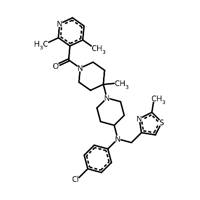 Cc1nc(CN(c2ccc(Cl)cc2)C2CCN(C3(C)CCN(C(=O)c4c(C)ccnc4C)CC3)CC2)cs1